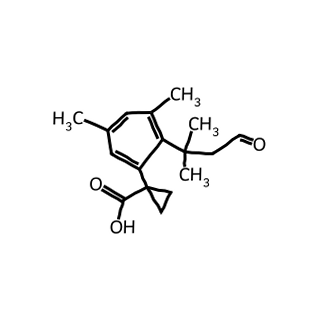 Cc1cc(C)c(C(C)(C)CC=O)c(C2(C(=O)O)CC2)c1